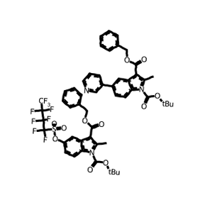 Cc1c(C(=O)OCc2ccccc2)c2cc(-c3cccnc3)ccc2n1C(=O)OC(C)(C)C.Cc1c(C(=O)OCc2ccccc2)c2cc(OS(=O)(=O)C(F)(F)C(F)(F)C(F)(F)C(F)(F)F)ccc2n1C(=O)OC(C)(C)C